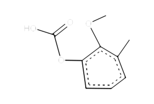 COc1c(C)cccc1OC(=O)O